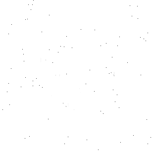 CC(Oc1cc(-c2ccncc2)sc1C(N)=O)c1ccccc1Cl